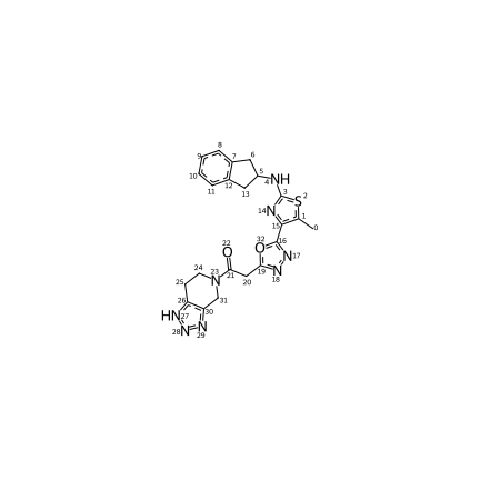 Cc1sc(NC2Cc3ccccc3C2)nc1-c1nnc(CC(=O)N2CCc3[nH]nnc3C2)o1